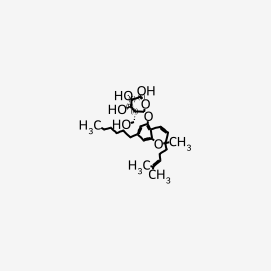 CCCCCCc1cc(OC2O[C@H](O)[C@@H](O)[C@H](O)[C@H]2CO)c2c(c1)OC(C)(CCC=C(C)C)C=C2